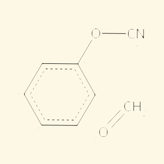 C=O.N#COc1ccccc1